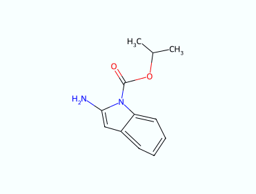 CC(C)OC(=O)n1c(N)cc2ccccc21